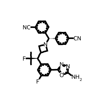 CC(C)(F)[C@H](c1cc(F)cc(-c2nnc(N)o2)c1)C1CN([C@@H](c2ccc(C#N)cc2)c2cccc(C#N)c2)C1